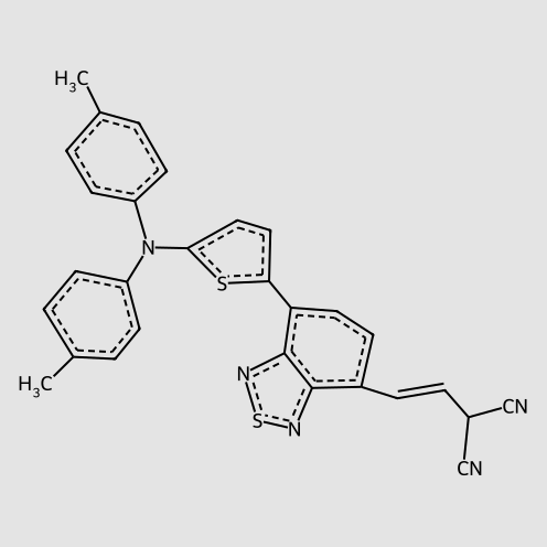 Cc1ccc(N(c2ccc(C)cc2)c2ccc(-c3ccc(/C=C/C(C#N)C#N)c4nsnc34)s2)cc1